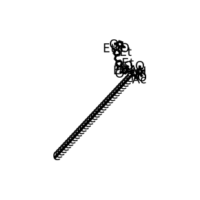 C=C=C=C=C=C=C=C=C=C=C=C=C=C=C=C=C=C=C=C=C=C=C=C=C=C=C=C=C=C=C=C=C=C=C=C(N(C(C)=O)C1CC(=O)N(C)C1=O)N(C(C)=O)C1CC(=O)N(c2c(CC)cc(Cc3cc(CC)c(N4C(=O)C=CC4=O)c(CC)c3)cc2CC)C1=O